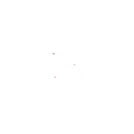 c1cn[c]([Co]([c]2ncccc2-c2nc3ccccc3s2)[c]2ncccc2-c2nc3ccccc3s2)c(-c2nc3ccccc3s2)c1